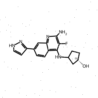 Nc1nc2cc(-c3cc[nH]n3)ccc2c(NC2CC[C@H](O)C2)c1F